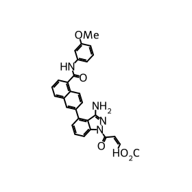 COc1cccc(NC(=O)c2cccc3cc(-c4cccc5c4c(N)nn5C(=O)/C=C\C(=O)O)ccc23)c1